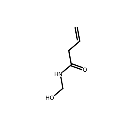 C=CCC(=O)NCO